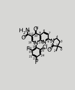 CC1(C)CCN(c2ccc3c(=O)c(C(N)=O)cn(-c4c(F)cc(F)cc4Cl)c3n2)C1=O